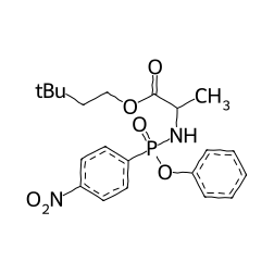 CC(NP(=O)(Oc1ccccc1)c1ccc([N+](=O)[O-])cc1)C(=O)OCCC(C)(C)C